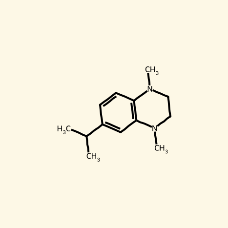 CC(C)c1ccc2c(c1)N(C)CCN2C